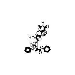 Cc1nc2c(ncn2[C@@H]2O[C@H](COP(=O)(NC(C)C(=O)OC3CCCCC3)Oc3ccccc3)[C@@H](O)[C@@]2(C)O)c(=O)[nH]1